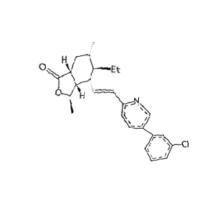 CC[C@H]1[C@H](/C=C/c2ccc(-c3cccc(Cl)c3)cn2)[C@@H]2[C@@H](C)OC(=O)[C@@H]2C[C@@H]1C